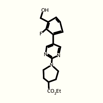 CCOC(=O)C1CCN(c2ncc(-c3cccc(CO)c3F)cn2)CC1